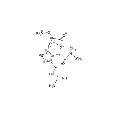 CN(C)C(=O)[C@@H]1c2c(CNC(=N)N)csc2C2CN1C(=O)N2OS(=O)(=O)O